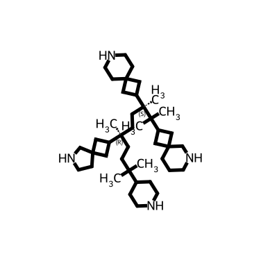 CC(C)(CC[C@](C)(CC[C@@](C)(C1CC2(CCNCC2)C1)C(C)(C)C1CC2(CCCNC2)C1)C1CC2(CCNC2)C1)C1CCNCC1